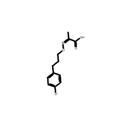 C/C(=N/OCCCc1ccc(Cl)cc1)C(=O)O